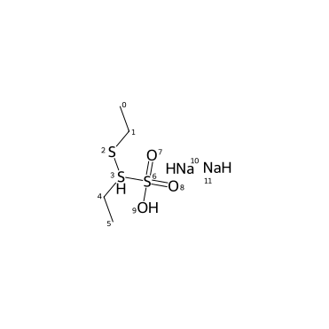 CCS[SH](CC)S(=O)(=O)O.[NaH].[NaH]